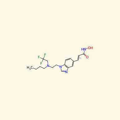 CCCCN(CCn1cnc2cc(/C=C/C(=O)NO)ccc21)CC(F)(F)F